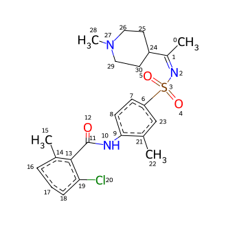 C/C(=N/S(=O)(=O)c1ccc(NC(=O)c2c(C)cccc2Cl)c(C)c1)C1CCN(C)CC1